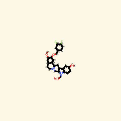 COc1ccc2c(c1)c1c(n2CO)CN2CCc3cc(OC)c(OCc4ccc(F)c(F)c4)cc3C2C1